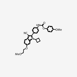 COCCOc1ccc2c(C#N)c(-c3ccc(NC(=O)Oc4ccc(OC)cc4)cc3)n(C3CCC3)c2c1